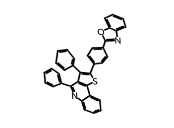 c1ccc(-c2nc3ccccc3c3sc(-c4ccc(-c5nc6ccccc6o5)cc4)c(-c4ccccc4)c23)cc1